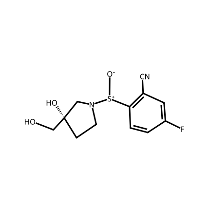 N#Cc1cc(F)ccc1[S+]([O-])N1CC[C@@](O)(CO)C1